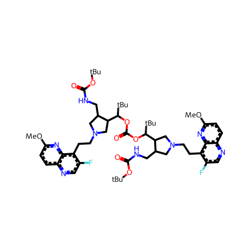 COc1ccc2ncc(F)c(CCN3CC(CNC(=O)OC(C)(C)C)C(C(OC(=O)OC(C4CN(CCc5c(F)cnc6ccc(OC)nc56)CC4CNC(=O)OC(C)(C)C)C(C)(C)C)C(C)(C)C)C3)c2n1